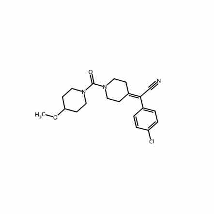 COC1CCN(C(=O)N2CCC(=C(C#N)c3ccc(Cl)cc3)CC2)CC1